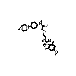 COc1cc(C)c(S(=O)(=O)N(C)CCOCC(=O)N(C)[C@H]2CC[C@@H](N3CCN(C)CC3)CC2)c(C)c1